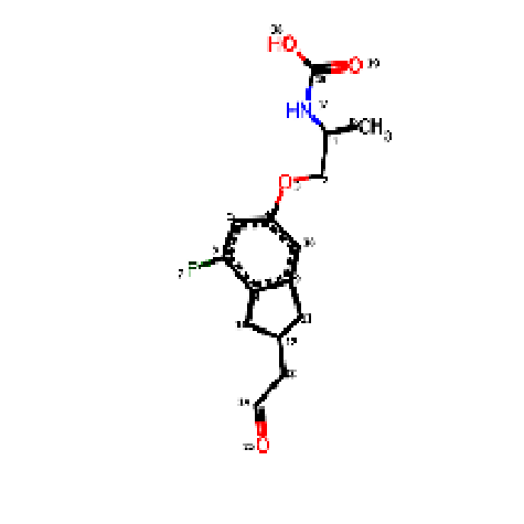 CC(COc1cc(F)c2c(c1)CC(CC=O)C2)NC(=O)O